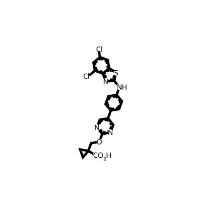 O=C(O)C1(COc2ncc(-c3ccc(Nc4nc5c(Cl)cc(Cl)cc5s4)cc3)cn2)CC1